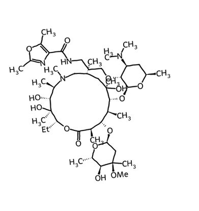 CC[C@H]1OC(=O)[C@H](C)[C@@H](O[C@H]2C[C@@](C)(OC)[C@@H](O)[C@H](C)O2)[C@H](C)[C@@H](O[C@@H]2O[C@H](C)C[C@H](N(C)C)[C@H]2OCCCNC(=O)c2nc(C)oc2C)[C@](C)(O)C[C@@H](C)CN(C)[C@H](C)[C@@H](O)[C@]1(C)O